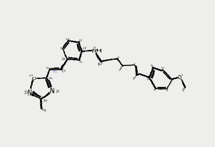 COc1ccc(CCCCCNc2cccc(/C=C/c3nc(C)no3)c2)cc1